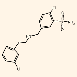 NS(=O)(=O)c1cc(CNCCc2cccc(Cl)c2)ccc1Cl